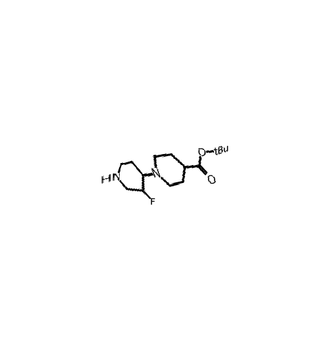 CC(C)(C)OC(=O)C1CCN(C2CCNCC2F)CC1